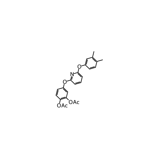 CC(=O)Oc1ccc(Oc2cccc(Oc3ccc(C)c(C)c3)n2)cc1OC(C)=O